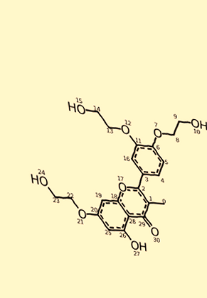 Cc1c(-c2ccc(OCCO)c(OCCO)c2)oc2cc(OCCO)cc(O)c2c1=O